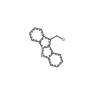 ClCc1c2ccccc2n2sc3ccccc3c12